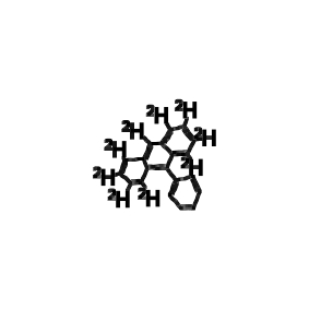 [2H]c1c([2H])c([2H])c2c(-c3ccccc3)c3c([2H])c([2H])c([2H])c([2H])c3c([2H])c2c1[2H]